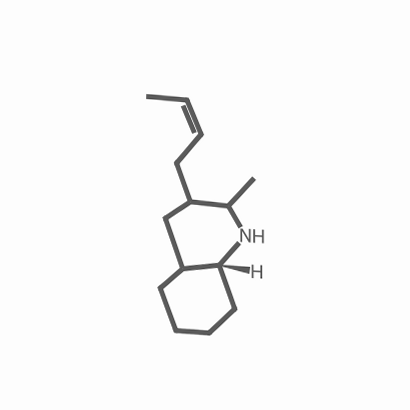 C/C=C\CC1CC2CCCC[C@H]2NC1C